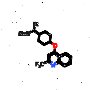 CCC(NC)C1CCC(Oc2cc(C(F)(F)F)nc3ccccc23)CC1